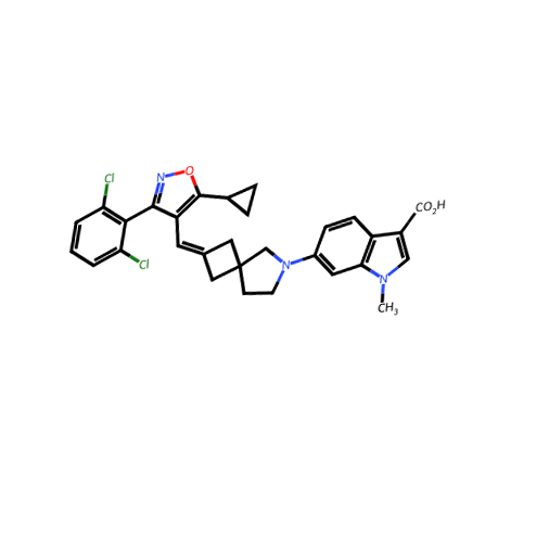 Cn1cc(C(=O)O)c2ccc(N3CCC4(CC(=Cc5c(-c6c(Cl)cccc6Cl)noc5C5CC5)C4)C3)cc21